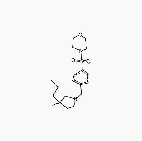 CCCC1(C)CCN(Cc2ccc(S(=O)(=O)N3CCOCC3)cc2)C1